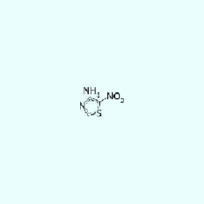 N.O=[N+]([O-])c1cncs1